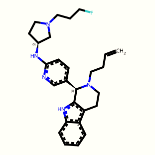 C=CCCN1CCc2c([nH]c3ccccc23)[C@H]1c1ccc(N[C@H]2CCN(CCCF)C2)nc1